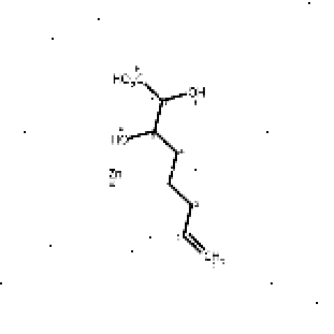 C=CCCCC(O)C(O)C(=O)O.[Zn]